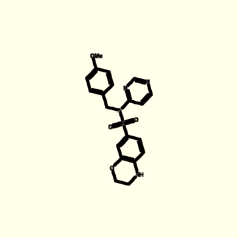 COc1ccc(CN(c2ccncn2)S(=O)(=O)c2ccc3c(c2)OCCN3)cc1